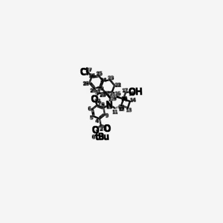 CC(C)(C)OC(=O)c1ccc2c(c1)N(C[C@H]1CC[C@@]1(C)CO)C[C@@]1(CCCc3cc(Cl)ccc31)CO2